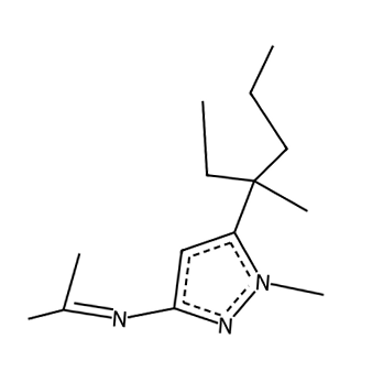 CCCC(C)(CC)c1cc(N=C(C)C)nn1C